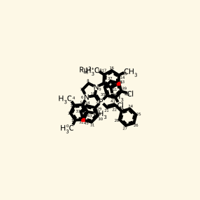 Cc1cc(C)c(N2CCN(c3c(C)cc(C)cc3C)C2=P(C=Cc2ccccc2)(c2ccccc2)c2cccc(Cl)c2Cl)c(C)c1.[Ru+2]